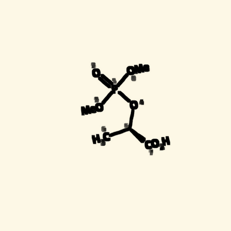 COP(=O)(OC)O[C@H](C)C(=O)O